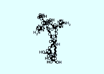 CC(C)O[C@H]1[C@@H](OCOCCOCCNC(=O)CCCCO[C@H]2C[C@@H](O)[C@@H](O)[C@@H](CO)O2)[C@H](n2cnc3c(N)ncnc32)O[C@@H]1COP(=O)(O)O[C@H]1[C@@H](OCOCCOCCNC(=O)CCCCO[C@H]2C[C@@H](O)[C@@H](O)[C@@H](CO)O2)[C@H](n2cnc3c(N)ncnc32)O[C@@H]1COP(=O)(O)O